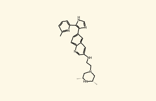 Cc1cccc(-c2[nH]cnc2-c2ccc3ncc(NCCN4C[C@@H](C)N[C@@H](C)C4)cc3c2)n1